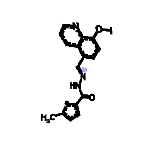 Cc1ccc(C(=O)N/N=C/c2ccc(OI)c3ncccc23)s1